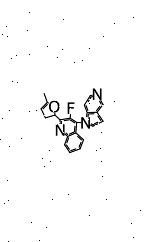 CC1=CCC(c2nc3ccccc3c(-n3ccc4cnccc43)c2F)O1